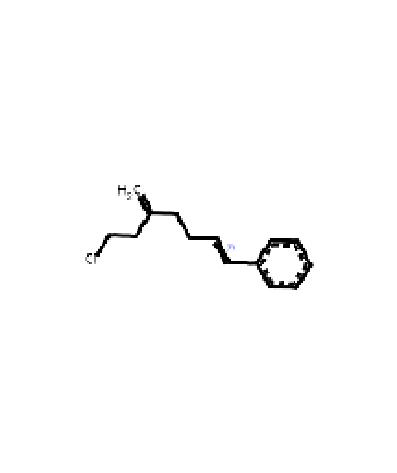 C=C(CCCl)CC/C=C/c1ccccc1